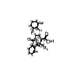 CC(C)(C)N(C(=O)O)[C@@H](Cc1c(F)cccc1F)CN1C(=O)c2ccccc2C1=O